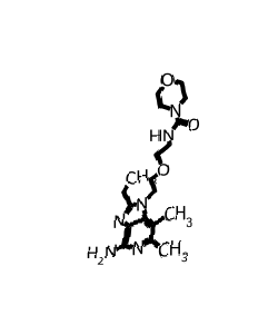 CCc1nc2c(N)nc(C)c(C)c2n1CCOCCNC(=O)N1CCOCC1